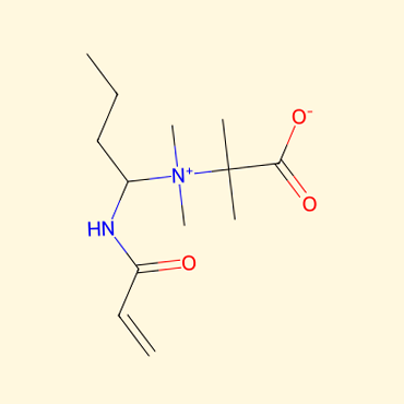 C=CC(=O)NC(CCC)[N+](C)(C)C(C)(C)C(=O)[O-]